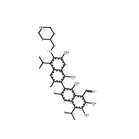 Cc1cc2c(C(C)C)c(OCC3CCNCC3)c(O)cc2c(O)c1-c1c(C)cc2c(C(C)C)c(O)c(O)c(C=O)c2c1O